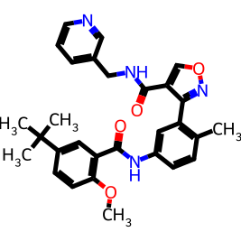 COc1ccc(C(C)(C)C)cc1C(=O)Nc1ccc(C)c(-c2nocc2C(=O)NCc2cccnc2)c1